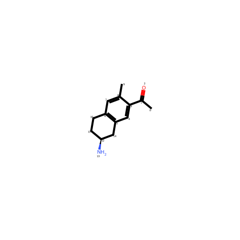 CC(=O)c1cc2c(cc1C)CC[C@H](N)C2